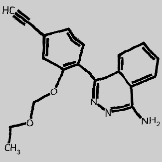 C#Cc1ccc(-c2nnc(N)c3ccccc23)c(OCOCC)c1